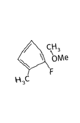 COC.Cc1ccccc1F